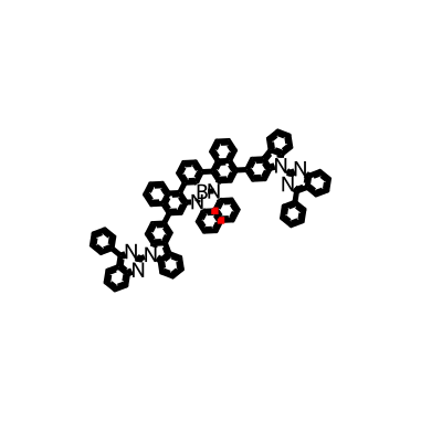 c1ccc(-c2nc(-n3c4ccccc4c4cc(-c5cc6c(c7ccccc57)-c5cccc7c5B(N6c5ccccc5)N(c5ccccc5)c5cc(-c6ccc8c(c6)c6ccccc6n8-c6nc(-c8ccccc8)c8ccccc8n6)c6ccccc6c5-7)ccc43)nc3ccccc23)cc1